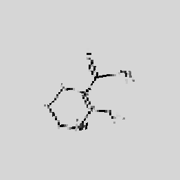 CC(=O)C1=C(C)NCCC1